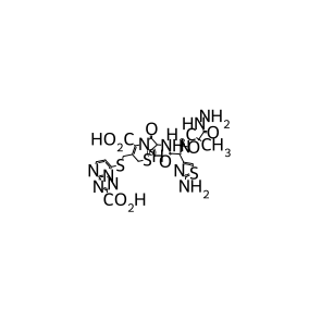 CC(C)(ON=C(C(=O)NC1C(=O)N2C(C(=O)O)=C(CSc3ccnc4nc(C(=O)O)nn34)CS[C@@H]12)c1csc(N)n1)C(=O)NN